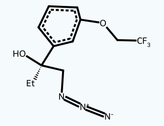 CC[C@@](O)(CN=[N+]=[N-])c1cccc(OCC(F)(F)F)c1